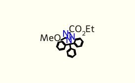 CCOC(=O)c1nc(COC)n(C(c2ccccc2)(c2ccccc2)c2ccccc2)n1